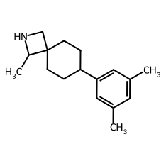 Cc1cc(C)cc(C2CCC3(CC2)CNC3C)c1